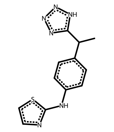 CC(c1ccc(Nc2nccs2)cc1)c1nnn[nH]1